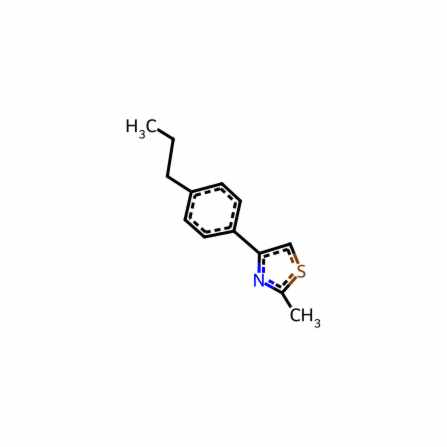 CCCc1ccc(-c2csc(C)n2)cc1